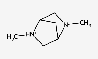 [CH2-][NH+]1CC2CC1CN2C